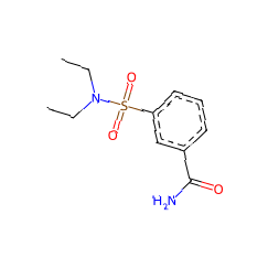 CCN(CC)S(=O)(=O)c1cccc(C(N)=O)c1